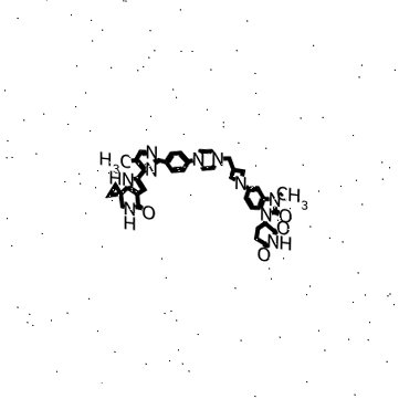 Cc1cnc(-c2ccc(N3CCN(CC4CN(c5ccc6c(c5)n(C)c(=O)n6C5CCC(=O)NC5=O)C4)CC3)cc2)nc1-c1cc2c([nH]1)C1(CC1)CNC2=O